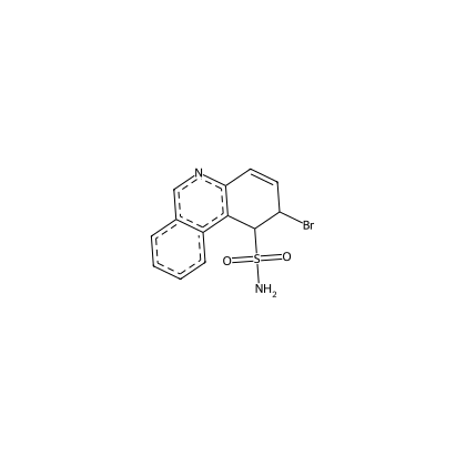 NS(=O)(=O)C1c2c(ncc3ccccc23)C=CC1Br